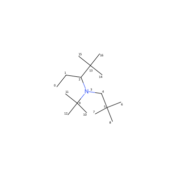 CCC(N(CC(C)(C)C)C(C)(C)C)C(C)(C)C